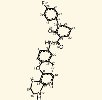 O=C(Nc1ccc(Oc2ccnc3c2SCCN3)c(F)c1)c1cccn(-c2ccc(F)cc2)c1=O